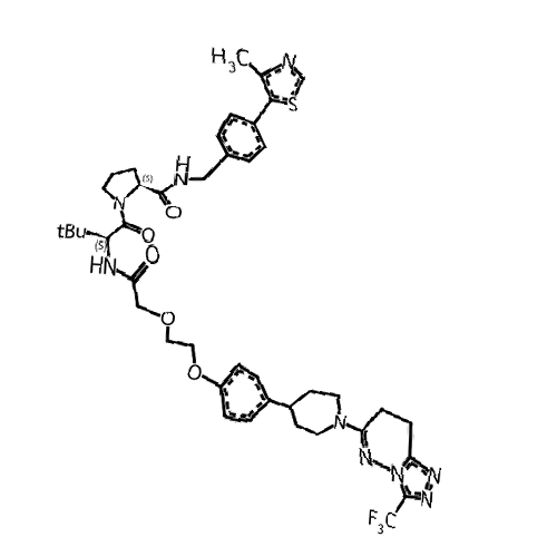 Cc1ncsc1-c1ccc(CNC(=O)[C@@H]2CCCN2C(=O)[C@@H](NC(=O)COCCOc2ccc(C3CCN(C4=Nn5c(nnc5C(F)(F)F)CC4)CC3)cc2)C(C)(C)C)cc1